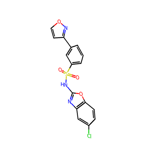 O=S(=O)(Nc1nc2cc(Cl)ccc2o1)c1cccc(-c2ccon2)c1